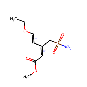 CCO/C=C/C(=C\C(=O)OC)CS(N)(=O)=O